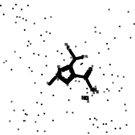 Cl.Cn1cc(C(N)=O)c(C(F)F)n1